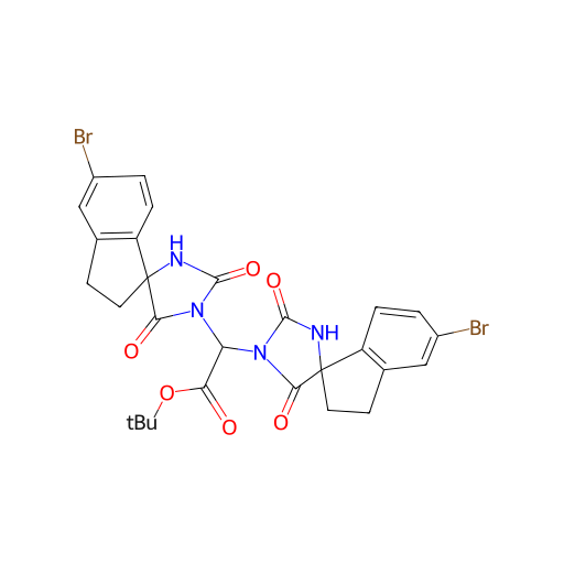 CC(C)(C)OC(=O)C(N1C(=O)NC2(CCc3cc(Br)ccc32)C1=O)N1C(=O)NC2(CCc3cc(Br)ccc32)C1=O